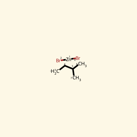 [Br][Zn][Br].[CH2]CC(C)C